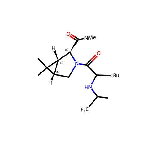 CNC(=O)[C@@H]1[C@@H]2[C@H](CN1C(=O)C(NC(C)C(F)(F)F)C(C)(C)C)C2(C)C